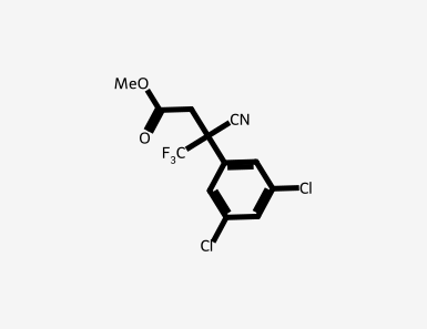 COC(=O)CC(C#N)(c1cc(Cl)cc(Cl)c1)C(F)(F)F